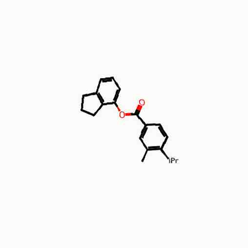 Cc1cc(C(=O)Oc2cccc3c2CCC3)ccc1C(C)C